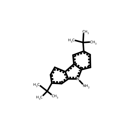 CC(C)(C)c1ccc2c(c1)c1ccc(C(C)(C)C)cc1n2N